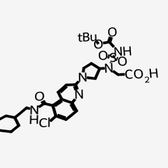 CC(C)(C)OC(=O)NS(=O)(=O)N(CC(=O)O)C1CCN(c2ccc3c(C(=O)NCC4CCCCC4)c(Cl)ccc3n2)C1